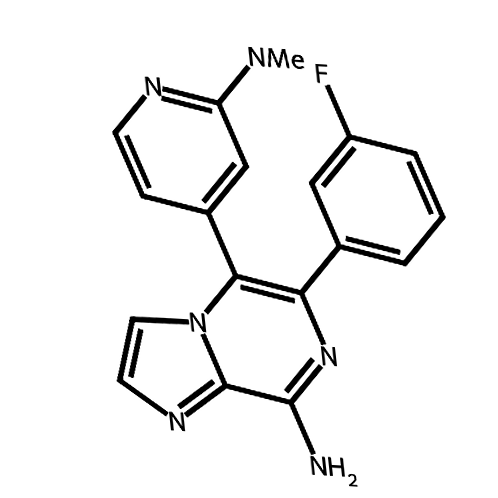 CNc1cc(-c2c(-c3cccc(F)c3)nc(N)c3nccn23)ccn1